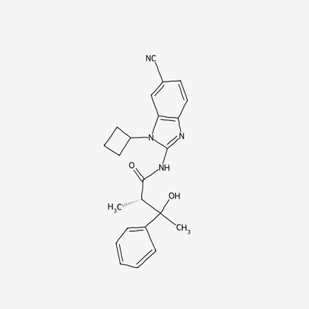 C[C@H](C(=O)Nc1nc2ccc(C#N)cc2n1C1CCC1)C(C)(O)c1ccccc1